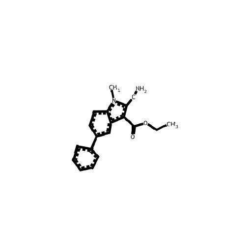 CCOC(=O)c1c(CN)n(C)c2ccc(-c3ccccc3)cc12